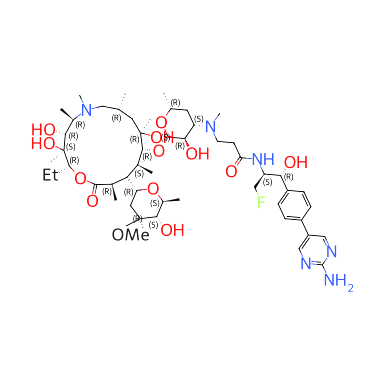 CC[C@H]1OC(=O)[C@H](C)C([C@H]2C[C@@](C)(OC)[C@@H](O)[C@H](C)O2)[C@H](C)[C@@H](O[C@@H]2O[C@H](C)C[C@H](N(C)CCC(=O)N[C@H](CF)[C@H](O)c3ccc(-c4cnc(N)nc4)cc3)[C@H]2O)[C@](C)(O)C[C@@H](C)CN(C)[C@H](C)[C@@H](O)[C@]1(C)O